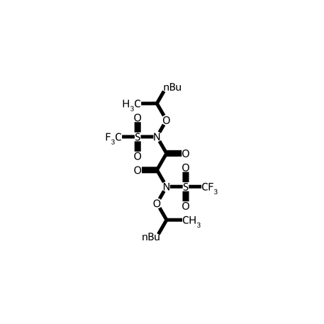 CCCCC(C)ON(C(=O)C(=O)N(OC(C)CCCC)S(=O)(=O)C(F)(F)F)S(=O)(=O)C(F)(F)F